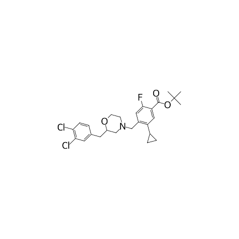 CC(C)(C)OC(=O)c1cc(C2CC2)c(CN2CCOC(Cc3ccc(Cl)c(Cl)c3)C2)cc1F